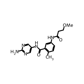 COCCC(=O)Nc1ccc(C)c(C(=O)Nc2cnc(N)nc2)c1